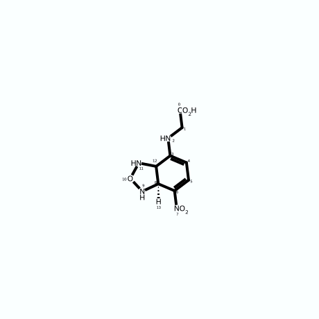 O=C(O)CNC1=CC=C([N+](=O)[O-])[C@H]2NONC12